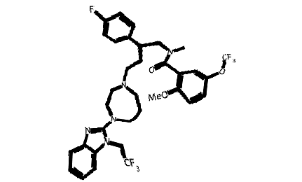 COc1ccc(OC(F)(F)F)cc1C(=O)N(C)CC(CCN1CCCN(c2nc3ccccc3n2CC(F)(F)F)CC1)c1ccc(F)cc1